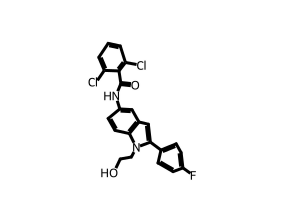 O=C(Nc1ccc2c(c1)cc(-c1ccc(F)cc1)n2CCO)c1c(Cl)cccc1Cl